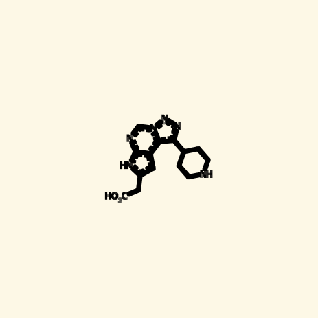 O=C(O)Cc1cc2c(ncn3nnc(C4CCNCC4)c23)[nH]1